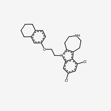 Clc1cc(Cl)c2c3c(n(CCOc4ccc5c(c4)CCCC5)c2c1)CCNCC3